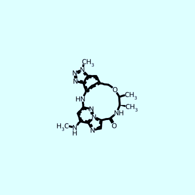 CNc1cc2nn3c(cnc13)C(=O)N[C@H](C)C(C)OCc1cc(c3nnn(C)c3c1)N2